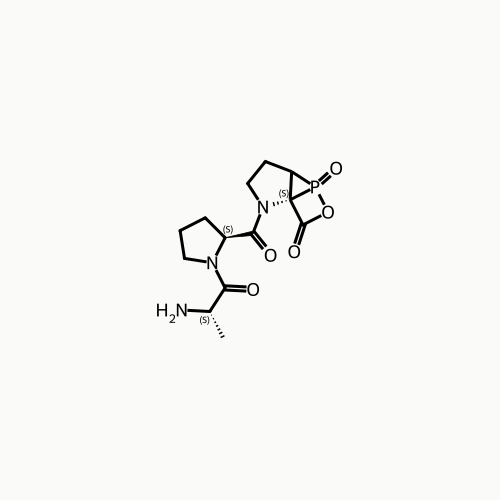 C[C@H](N)C(=O)N1CCC[C@H]1C(=O)N1CCC2[C@@]13C(=O)OP23=O